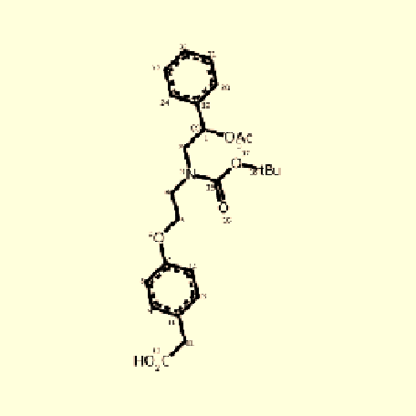 CC(=O)O[C@@H](CN(CCOc1ccc(CC(=O)O)cc1)C(=O)OC(C)(C)C)c1ccccc1